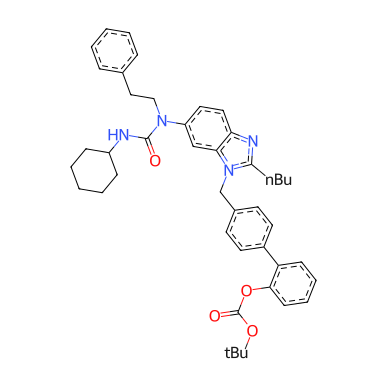 CCCCc1nc2ccc(N(CCc3ccccc3)C(=O)NC3CCCCC3)cc2n1Cc1ccc(-c2ccccc2OC(=O)OC(C)(C)C)cc1